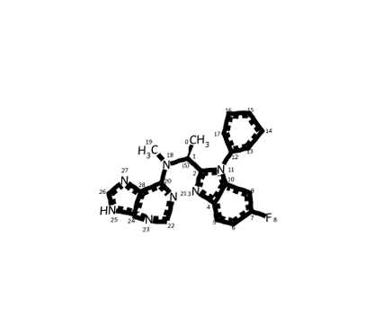 C[C@@H](c1nc2ccc(F)cc2n1-c1ccccc1)N(C)c1ncnc2[nH]cnc12